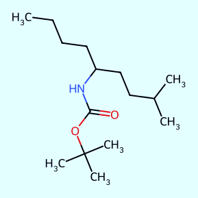 CCCCC(CCC(C)C)NC(=O)OC(C)(C)C